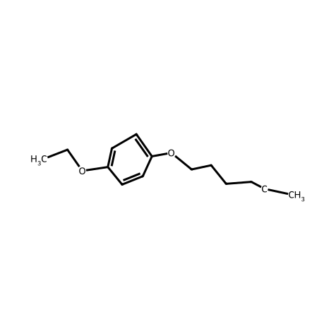 CCCCCCOc1ccc(OCC)cc1